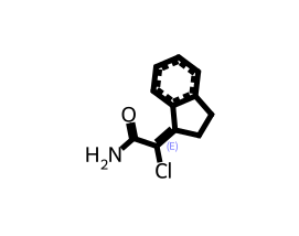 NC(=O)/C(Cl)=C1/CCc2ccccc21